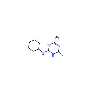 CC1=NC(Cl)NC(NC2CCCCC2)N1